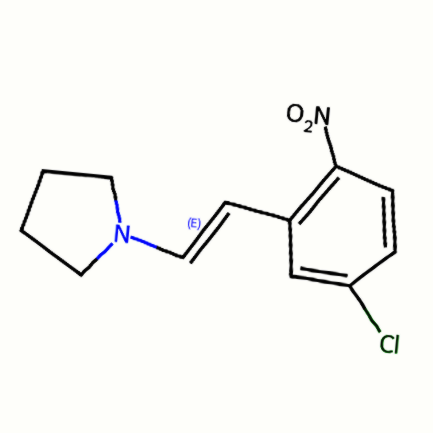 O=[N+]([O-])c1ccc(Cl)cc1/C=C/N1CCCC1